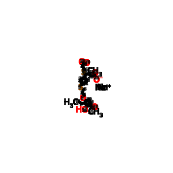 CCCc1c(OCCCSc2ccc(C(SCCC(=O)[O-])C(C)CC(=O)[O-])cc2)ccc(C(C)=O)c1O.[Na+].[Na+]